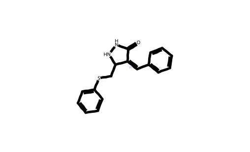 O=C1NNC(CSc2ccccc2)/C1=C/c1ccccc1